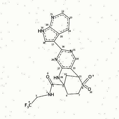 O=C(NCC(F)(F)F)C12CCS(=O)(=O)C(C1)c1cnc(-c3c[nH]c4ncccc34)nc1N2